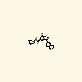 CC(C)C[C@@H](CO)NC(=O)c1cc(F)c2[nH]nc(-c3ccc4ccccc4c3)c2c1